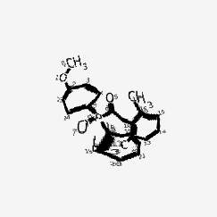 COc1ccc(P(=O)(C(=O)c2c(C)cccc2C)c2ccccc2)cc1